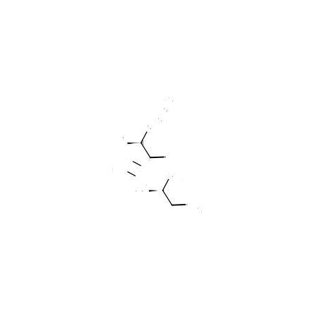 CC(=O)O.CC(=O)O.N[C@@H](CC(=O)[O-])C(=O)[O-].N[C@@H](CC(=O)[O-])C(=O)[O-].[Na+].[Na+].[Na+].[Na+]